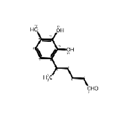 CC(CCCC=O)c1ccc(O)c(O)c1O